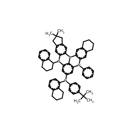 CC1(C)Cc2cc3c(cc2C1)N(C1CCCc2ccccc21)c1cc(N(c2ccc(C(C)(C)C)cc2)c2cccc4c2CCCC4)cc2c1B3c1cc3c(cc1N2c1ccccc1)CCCC3